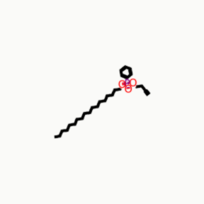 C#CCCOP(=O)(OCCCCCCCCCCCCCCCCCC)c1ccccc1